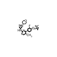 Cc1cnc(Nc2cnn(C3CCOCC3)c2)nc1-c1ccc(OCC2(C#N)CC2)c(F)c1